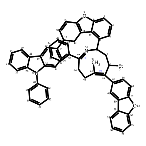 CCC1CC(c2cccc3oc4c(c23)CC(c2ccc3c(c2)c2ccccc2n3-c2ccccc2)C=C4)/N=C(/c2ccccc2)CC/C(C)=C/1c1ccc2oc3ccccc3c2c1